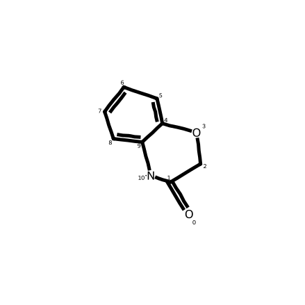 O=C1COc2ccccc2[N]1